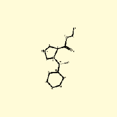 CCOC(=O)C1CNCN1[C@H](C)C1CCCCC1